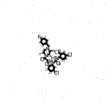 C[C@@H]1CN(Cc2ccc(F)cc2)[C@@H](C)CN1C(=O)COc1ccc(Cl)cc1NC(=O)Nc1ccc(Cl)cc1Cl